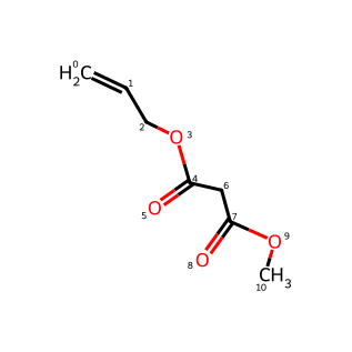 C=CCOC(=O)CC(=O)OC